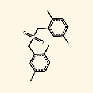 Cc1ccc(F)cc1CS(=O)(=O)Cc1cc(F)ccc1C